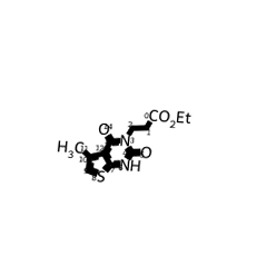 CCOC(=O)CCn1c(=O)[nH]c2scc(C)c2c1=O